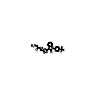 C=CC(=O)NCc1nnc(-n2c(=O)n(-c3ccc(C(F)(F)F)cc3)c3ccccc32)o1